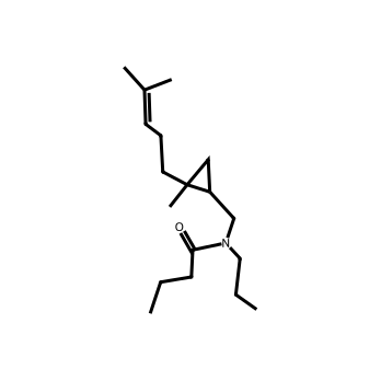 CCCC(=O)N(CCC)CC1CC1(C)CCC=C(C)C